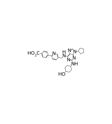 O=C(O)c1ccc(-c2ccc(CNc3nc(NC4CCC(O)CC4)nc4c3ncn4C3CCCC3)cn2)cc1